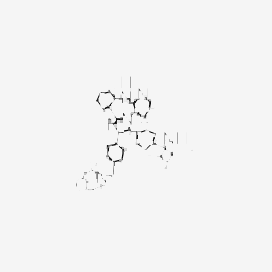 NC1(c2ccc(-c3c(-c4ccc(CN5CCOCC5)cc4)nc4n3-c3cccnc3Nc3ccccc3-4)cc2)CCC1